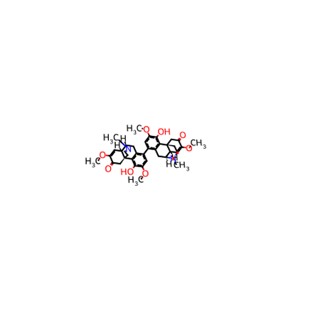 COC1=C[C@@H]2[C@@H]3Cc4c(-c5cc(OC)c(O)c6c5C[C@H]5[C@H]7C=C(OC)C(=O)C[C@@]67CCN5C)cc(OC)c(O)c4[C@]2(CCN3C)CC1=O